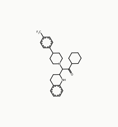 O=C(C1CCCCC1)C(C1CCc2ccccc2N1)N1CCC(c2ccc(C(F)(F)F)cc2)CC1